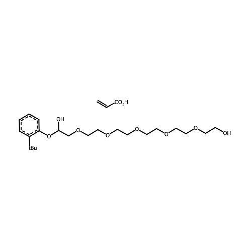 C=CC(=O)O.CC(C)(C)c1ccccc1OC(O)COCCOCCOCCOCCOCCO